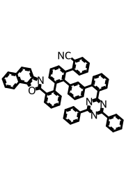 N#Cc1ccccc1-c1cccc(-c2ccccc2-c2nc3ccc4ccccc4c3o2)c1-c1cccc(-c2ccccc2-c2nc(-c3ccccc3)nc(-c3ccccc3)n2)c1